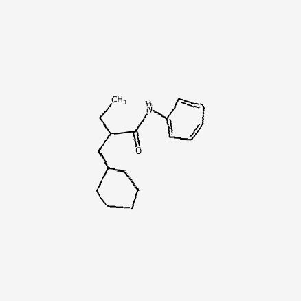 CCC(CC1CCCCC1)C(=O)Nc1ccccc1